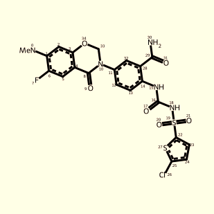 CNc1cc2c(cc1F)C(=O)N(c1ccc(NC(=O)NS(=O)(=O)c3ccc(Cl)s3)c(C(N)=O)c1)CO2